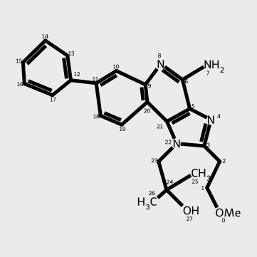 COCCc1nc2c(N)nc3cc(-c4ccccc4)ccc3c2n1CC(C)(C)O